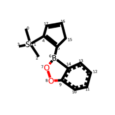 C[Si](C)(C)C1=C(B2OOc3ccccc32)CC=C1